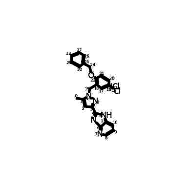 Cc1cc(-c2nc3ncccc3[nH]2)nn1Cc1cc(Cl)ccc1OCc1ccccc1.Cl